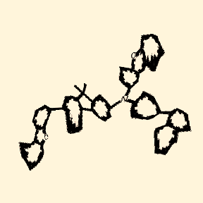 CC1(C)c2cc(-c3cccc4c3oc3ccccc34)ccc2-c2ccc(N(c3ccc(-c4cccc5ccccc45)cc3)c3ccc4oc5ccccc5c4c3)cc21